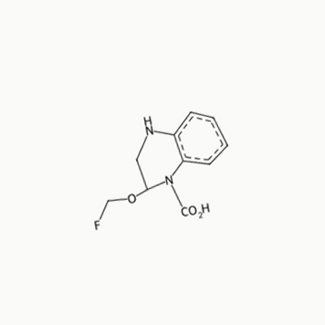 O=C(O)N1c2ccccc2NCC1OCF